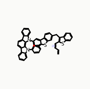 C=C/C=C\c1sc2ccccc2c1Cc1ccc2c(c1)sc1ccc(-n3c4ccccc4c4ccc5c6ccccc6n(-c6ccccc6)c5c43)cc12